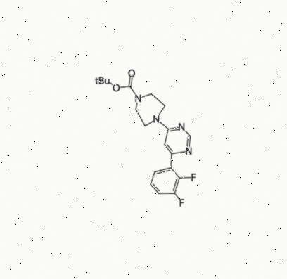 CC(C)(C)OC(=O)N1CCN(c2cc(-c3cccc(F)c3F)ncn2)CC1